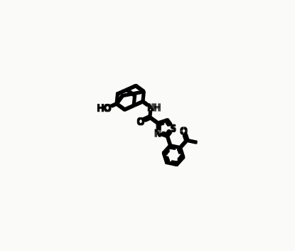 CC(=O)c1ccccc1-c1nc(C(=O)NC2C3CC4CC2CC(O)(C4)C3)cs1